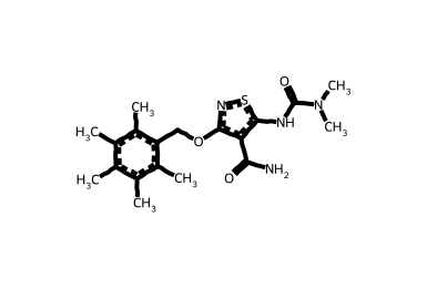 Cc1c(C)c(C)c(COc2nsc(NC(=O)N(C)C)c2C(N)=O)c(C)c1C